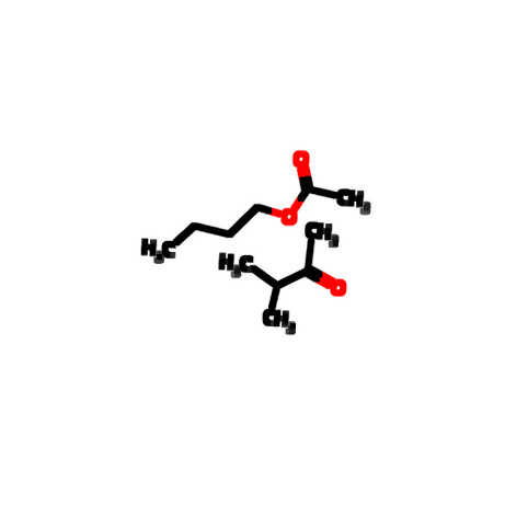 CC(=O)C(C)C.CCCCOC(C)=O